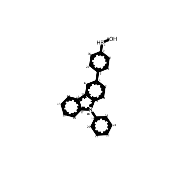 OBc1ccc(-c2ccc3c(c2)c2ccccc2n3-c2ccccc2)cc1